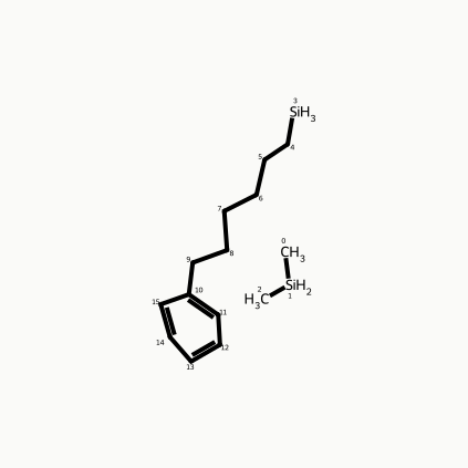 C[SiH2]C.[SiH3]CCCCCCc1ccccc1